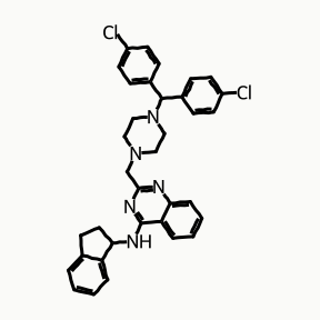 Clc1ccc(C(c2ccc(Cl)cc2)N2CCN(Cc3nc(NC4CCc5ccccc54)c4ccccc4n3)CC2)cc1